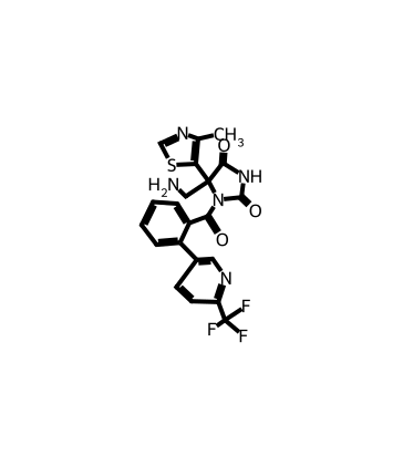 Cc1ncsc1C1(CN)C(=O)NC(=O)N1C(=O)c1ccccc1-c1ccc(C(F)(F)F)nc1